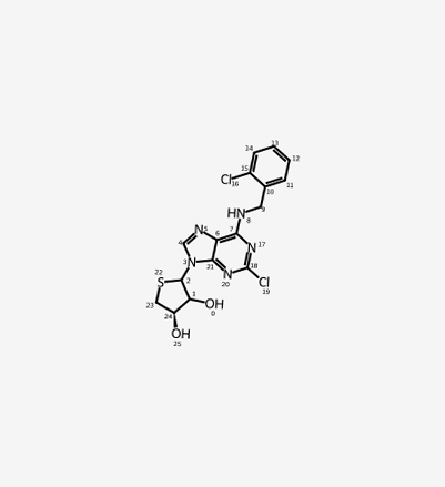 OC1C(n2cnc3c(NCc4ccccc4Cl)nc(Cl)nc32)SC[C@@H]1O